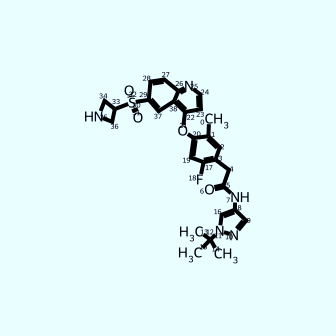 Cc1cc(CC(=O)Nc2cnn(C(C)(C)C)c2)c(F)cc1Oc1ccnc2ccc(S(=O)(=O)C3CNC3)cc12